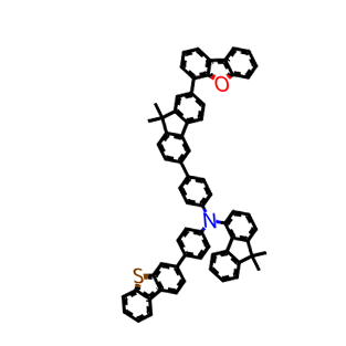 CC1(C)c2ccc(-c3ccc(N(c4ccc(-c5ccc6c(c5)sc5ccccc56)cc4)c4cccc5c4-c4ccccc4C5(C)C)cc3)cc2-c2ccc(-c3cccc4c3oc3ccccc34)cc21